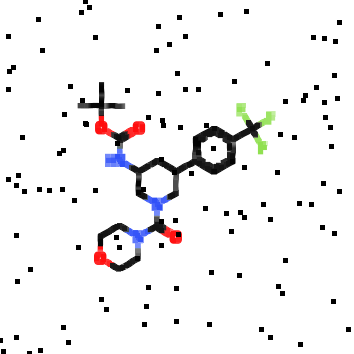 CC(C)(C)OC(=O)NC1CC(c2ccc(C(F)(F)F)cc2)CN(C(=O)N2CCOCC2)C1